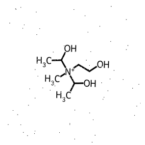 CC(O)[N+](C)(CCO)C(C)O